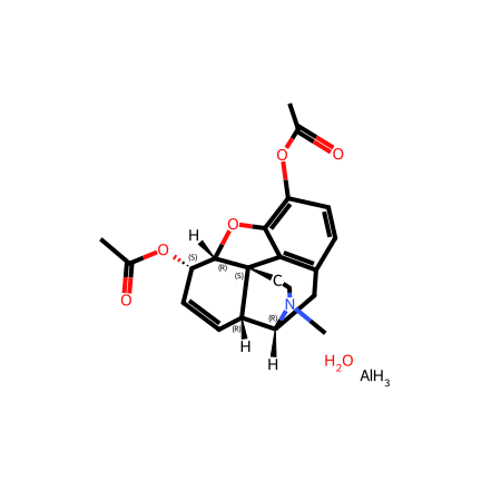 CC(=O)Oc1ccc2c3c1O[C@H]1[C@@H](OC(C)=O)C=C[C@H]4[C@@H](C2)N(C)CC[C@@]341.O.[AlH3]